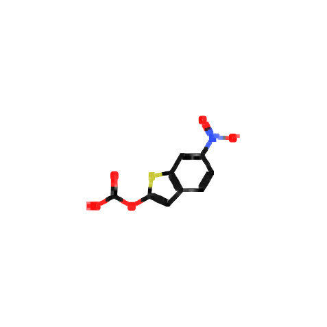 O=C(O)Oc1cc2ccc([N+](=O)[O-])cc2s1